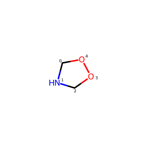 C1NCOO1